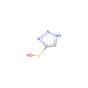 OSc1c[nH]nn1